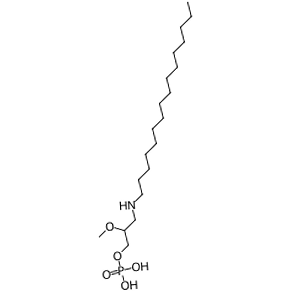 CCCCCCCCCCCCCCCCNCC(COP(=O)(O)O)OC